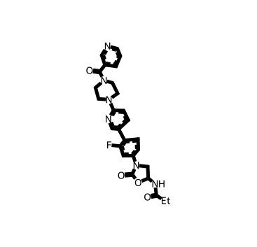 CCC(=O)NC1CN(c2ccc(-c3ccc(N4CCN(C(=O)c5cccnc5)CC4)nc3)c(F)c2)C(=O)O1